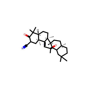 CC(=O)/C=C1/[C@@]2(C)CC(C#N)C(=O)C(C)(C)[C@@H]2CC[C@@]1(C)[C@]1(C)CC[C@@]2(C)CCC(C)(C)CC2C1